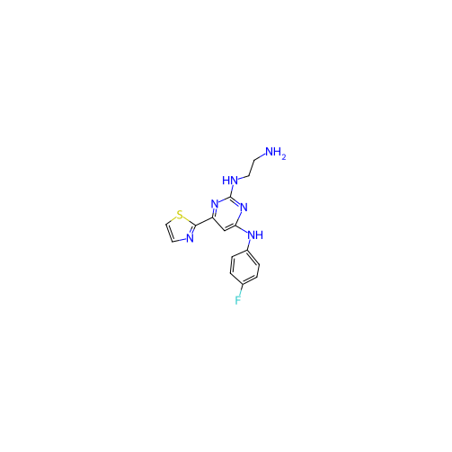 NCCNc1nc(Nc2ccc(F)cc2)cc(-c2nccs2)n1